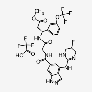 COC(=O)C[C@H](NC(=O)CNC(=O)c1cc(NC2=NCC(F)CN2)c2cn[nH]c2c1)c1cccc(OC(F)(F)F)c1.O=C(O)C(F)(F)F